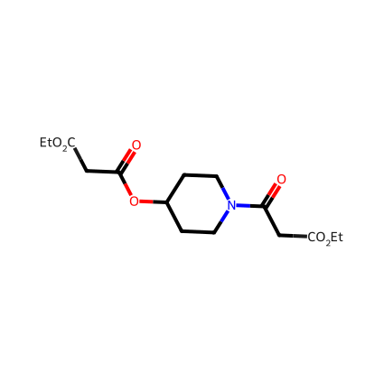 CCOC(=O)CC(=O)OC1CCN(C(=O)CC(=O)OCC)CC1